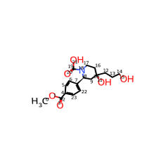 COC(=O)c1ccc([C@@H]2CC(O)(CCCO)CCN2C(=O)O)cc1